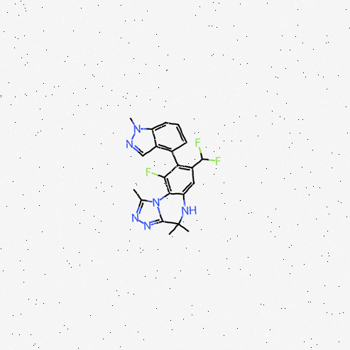 Cc1nnc2n1-c1c(cc(C(F)F)c(-c3cccc4c3cnn4C)c1F)NC2(C)C